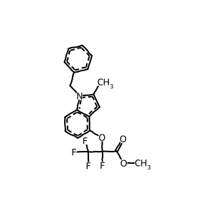 COC(=O)C(F)(Oc1cccc2c1cc(C)n2Cc1ccccc1)C(F)(F)F